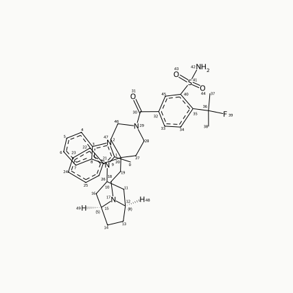 Cc1nc2ccccc2n1C1C[C@H]2CC[C@@H](C1)N2CCC1(c2ccccc2)CCN(C(=O)c2ccc(C(C)(C)F)c(S(N)(=O)=O)c2)CC1